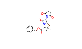 CC1(C)SC2C(N3C(=O)CCC3=O)C(=O)N2C1C(=O)OCc1ccccc1